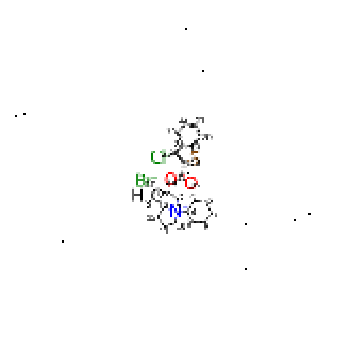 CC(C[N+]1(C2CCCCC2)CCCC1)OC(=O)c1sc2ccccc2c1Cl.[Br-]